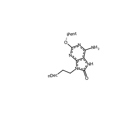 CCCCCCCCCCCCn1c(=O)[nH]c2c(N)nc(O[C@@H](C)CCC)nc21